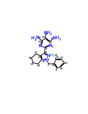 Nc1nc(-c2nn(Cc3ccccc3F)c3c2CCCC3)nc(N)c1N